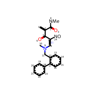 C=C(C(=O)NC)C(=O)/C(=C\N(C)Cc1ccccc1-c1ccccc1)N=O